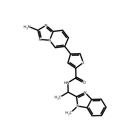 CC(NC(=O)c1cc(-c2ccc3nc(N)nn3c2)cs1)c1nc2ccccc2n1C